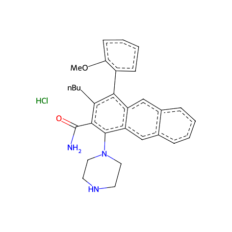 CCCCc1c(C(N)=O)c(N2CCNCC2)c2cc3ccccc3cc2c1-c1ccccc1OC.Cl